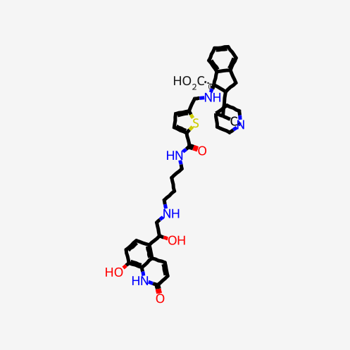 O=C(NCCCCNCC(O)c1ccc(O)c2[nH]c(=O)ccc12)c1ccc(CN[C@@]2(C(=O)O)c3ccccc3CC2C2CN3CCC2CC3)s1